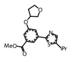 COC(=O)c1cc(OC2CCOC2)cc(-c2ncc(C(C)C)s2)c1